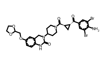 Nc1c(Br)cc(C(=O)[C@@H]2C[C@H]2C(=O)N2CCC(N3Cc4cc(OCC5OCCO5)ccc4NC3=O)CC2)cc1Br